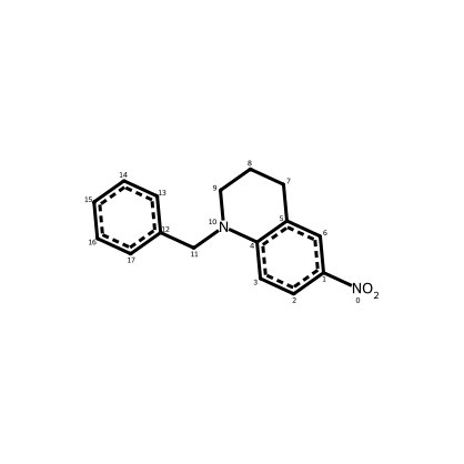 O=[N+]([O-])c1ccc2c(c1)CCCN2Cc1ccccc1